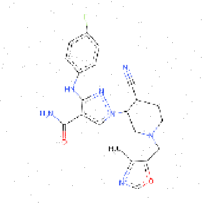 Cc1ncoc1CN1CCC(C#N)C(n2cc(C(N)=O)c(Nc3ccc(F)cc3)n2)C1